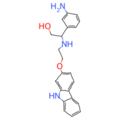 Nc1cccc(C(CO)NCCOc2ccc3c(c2)[nH]c2ccccc23)c1